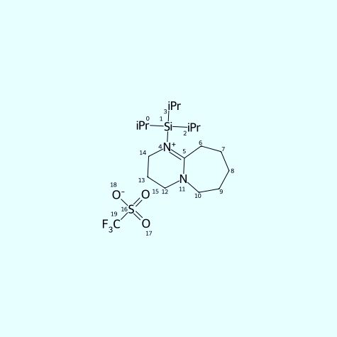 CC(C)[Si](C(C)C)(C(C)C)[N+]1=C2CCCCCN2CCC1.O=S(=O)([O-])C(F)(F)F